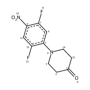 O=C1CCN(c2cc(F)c([N+](=O)[O-])cc2F)CC1